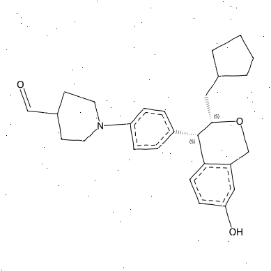 O=CC1CCN(c2ccc([C@H]3c4ccc(O)cc4CO[C@H]3CC3CCCC3)cc2)CC1